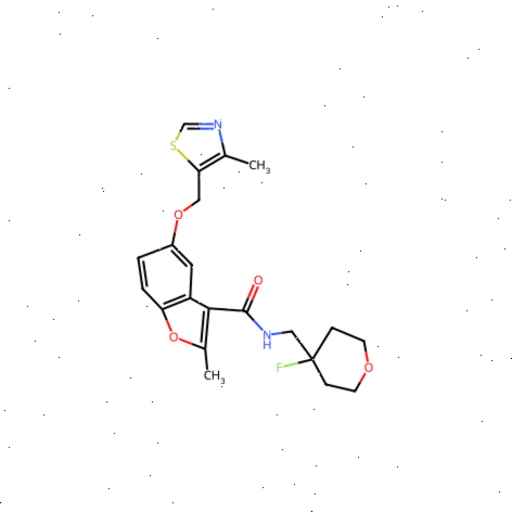 Cc1ncsc1COc1ccc2oc(C)c(C(=O)NCC3(F)CCOCC3)c2c1